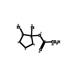 CCC1CCCC1(CC)OC(=O)C(=O)O